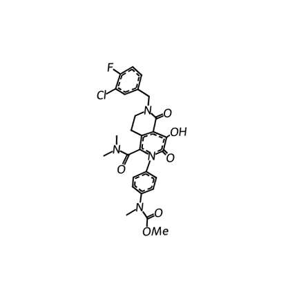 COC(=O)N(C)c1ccc(-n2c(C(=O)N(C)C)c3c(c(O)c2=O)C(=O)N(Cc2ccc(F)c(Cl)c2)CC3)cc1